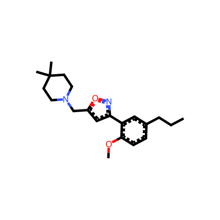 CCCc1ccc(OC)c(-c2cc(CN3CCC(C)(C)CC3)on2)c1